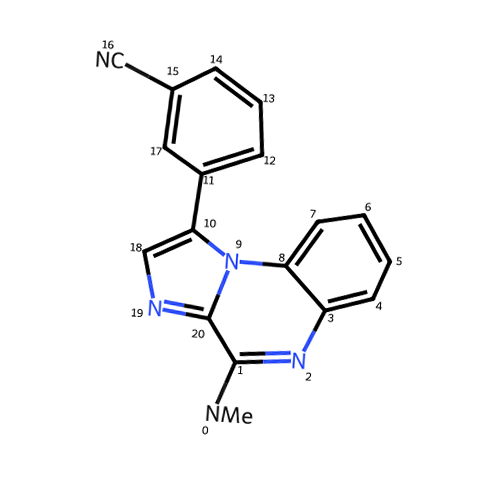 CNc1nc2ccccc2n2c(-c3cccc(C#N)c3)cnc12